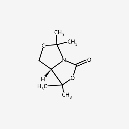 CC1(C)OC(=O)N2[C@H]1COC2(C)C